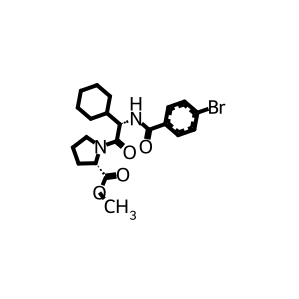 COC(=O)[C@@H]1CCCN1C(=O)[C@@H](NC(=O)c1ccc(Br)cc1)C1CCCCC1